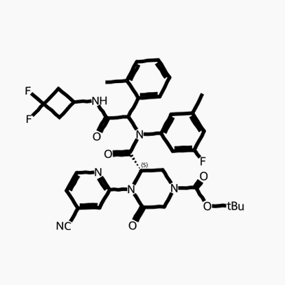 Cc1cc(F)cc(N(C(=O)[C@@H]2CN(C(=O)OC(C)(C)C)CC(=O)N2c2cc(C#N)ccn2)C(C(=O)NC2CC(F)(F)C2)c2ccccc2C)c1